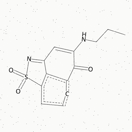 CCCNC1=CC2=NS(=O)(=O)c3cccc(c32)C1=O